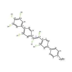 CCCc1ccc(-c2ccc(/C(F)=C(\F)c3ccc(-c4cc(F)c(F)c(F)c4)c(F)c3)c(F)c2)cc1